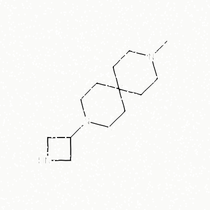 CN1CCC2(CC1)CCN(C1CNC1)CC2